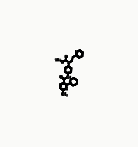 Cc1ccc(C(=O)Nc2ccc(N(CCc3ccccn3)C(=O)OC(C)(C)C)cc2)c(N2CCCCC2)n1